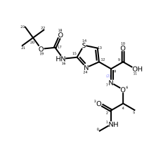 CNC(=O)C(C)O/N=C(\C(=O)O)c1csc(NC(=O)OC(C)(C)C)n1